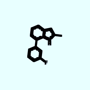 Cc1cc2cccc(-c3cccc(F)c3)c2[nH]1